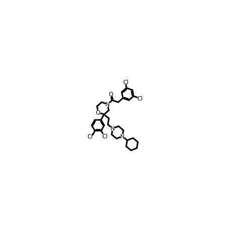 O=C(Cc1cc(Cl)cc(Cl)c1)N1CCOC(CCN2CCN(C3CCCCC3)CC2)(c2ccc(Cl)c(Cl)c2)C1